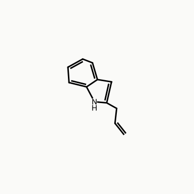 C=CCc1cc2ccccc2[nH]1